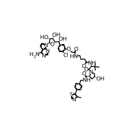 Cc1ncsc1-c1ccc(CNC(=O)[C@@H]2C[C@@H](O)CN2C(=O)[C@@H](NC(=O)CCCNC(=O)COc2cc([C@@H](O)[C@H]3O[C@@H](n4ccc5c(N)ncnc54)[C@H](O)[C@@H]3O)ccc2Cl)C(C)(C)C)cc1